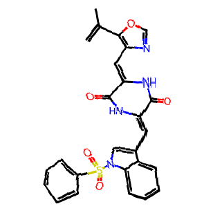 C=C(C)c1ocnc1/C=c1\[nH]c(=O)/c(=C/c2cn(S(=O)(=O)c3ccccc3)c3ccccc23)[nH]c1=O